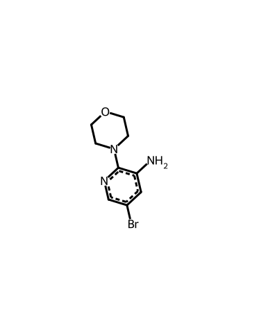 Nc1cc(Br)cnc1N1CCOCC1